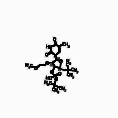 COCCO[C@H]1C(OP(=O)(O)OC(C)(C)C)[C@@H](CC(C)(C)C)O[C@H]1n1cc(C)c(=O)[nH]c1=O